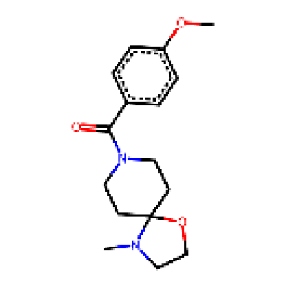 COc1ccc(C(=O)N2CCC3(CC2)OCCN3C)cc1